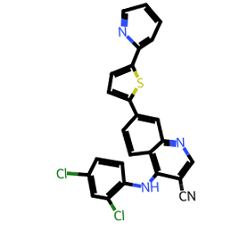 N#Cc1cnc2cc(-c3ccc(-c4ccccn4)s3)ccc2c1Nc1ccc(Cl)cc1Cl